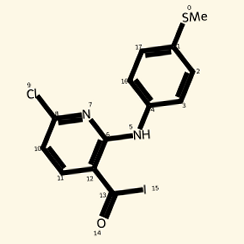 CSc1ccc(Nc2nc(Cl)ccc2C(=O)I)cc1